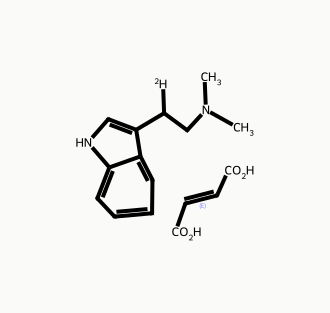 O=C(O)/C=C/C(=O)O.[2H]C(CN(C)C)c1c[nH]c2ccccc12